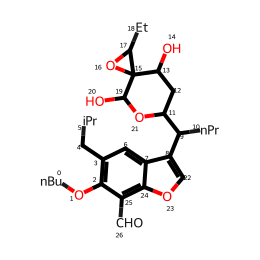 CCCCOc1c(CC(C)C)cc2c(C(CCC)C3CC(O)C4(OC4CC)C(O)O3)coc2c1C=O